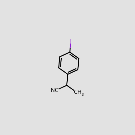 CC(C#N)c1ccc(I)cc1